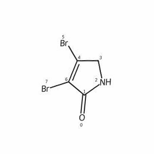 O=C1NCC(Br)=C1Br